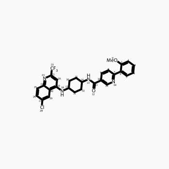 COc1ccccc1-c1ccc(C(=O)NC2CCC(Nc3cc(C(F)(F)F)nc4ccc(Cl)cc34)CC2)cn1